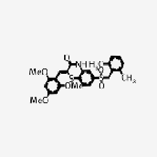 COc1cc(OC)c(/C=C2\Sc3ccc(S(=O)(=O)Cc4c(C)cccc4C)cc3NC2=O)c(OC)c1